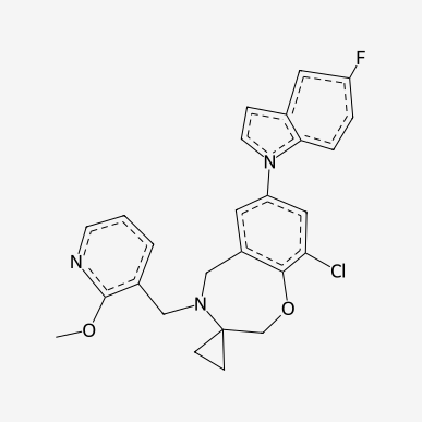 COc1ncccc1CN1Cc2cc(-n3ccc4cc(F)ccc43)cc(Cl)c2OCC12CC2